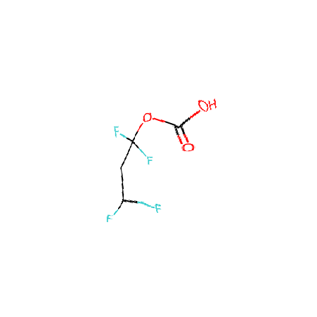 O=C(O)OC(F)(F)CC(F)F